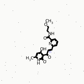 COCCNC(=O)c1cccc(/C=C/C(=O)c2c(O)cc(C)[nH]c2=O)n1